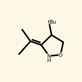 CC(C)=C1NOCC1C(C)(C)C